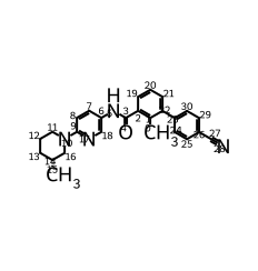 Cc1c(C(=O)Nc2ccc(N3CCC[C@@H](C)C3)nc2)cccc1-c1ccc(C#N)cc1